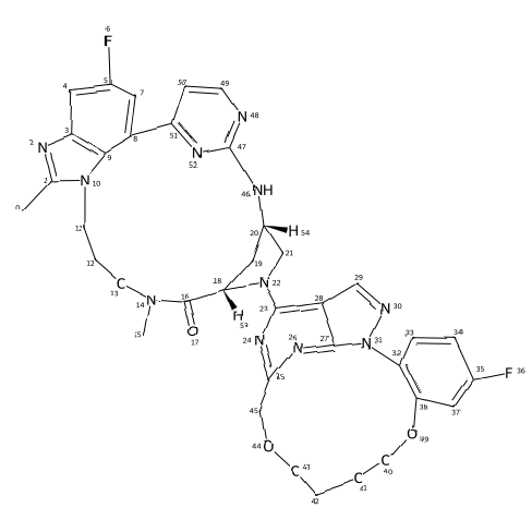 Cc1nc2cc(F)cc3c2n1CCCN(C)C(=O)[C@@H]1C[C@@H](CN1c1nc2nc4c1cnn4-c1ccc(F)cc1OCCCCOC2)Nc1nccc-3n1